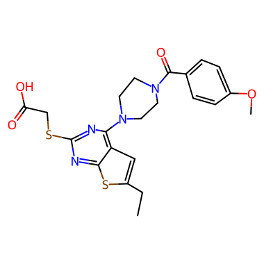 CCc1cc2c(N3CCN(C(=O)c4ccc(OC)cc4)CC3)nc(SCC(=O)O)nc2s1